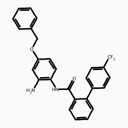 Nc1cc(OCc2ccccc2)ccc1NC(=O)c1ccccc1-c1ccc(C(F)(F)F)cc1